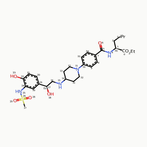 CCOC(=O)[C@H](CC(C)C)NC(=O)c1ccc(N2CCC(NC[C@@H](O)c3ccc(O)c(NS(C)(=O)=O)c3)CC2)cc1